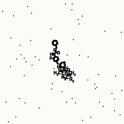 CC(C)(C)OC(=O)N1[C@H]2CSC[C@@H](Cc3ccc(NC(=O)OCc4ccccc4)c(F)c3)[C@@H]2OC1(C)C